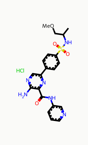 COCC(C)NS(=O)(=O)c1ccc(-c2cnc(N)c(C(=O)Nc3cccnc3)n2)cc1.Cl